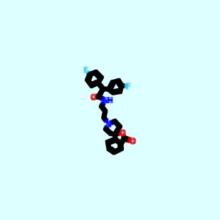 O=C1OC2(CCN(CCCNC(=O)C(c3ccc(F)cc3)c3ccc(F)cc3)CC2)c2ccccc21